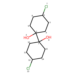 OC1(C2(O)CCC(Cl)CC2)CCC(Cl)CC1